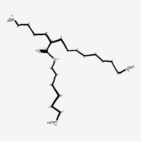 CCCCCCCCCCCCCCCCCCC(CCCCCCCCCCCCCC)C(=O)OCCCCCCCCCCCCCCCC